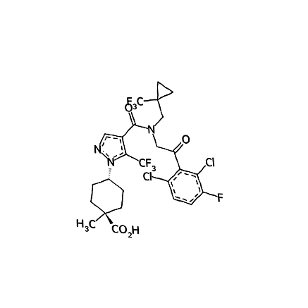 C[C@]1(C(=O)O)CC[C@H](n2ncc(C(=O)N(CC(=O)c3c(Cl)ccc(F)c3Cl)CC3(C(F)(F)F)CC3)c2C(F)(F)F)CC1